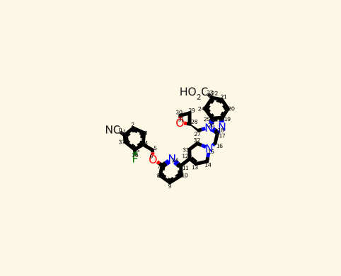 N#Cc1ccc(COc2cccc(C3=CCN(Cc4nc5ccc(C(=O)O)cc5n4C[C@@H]4CCO4)CC3)n2)c(F)c1